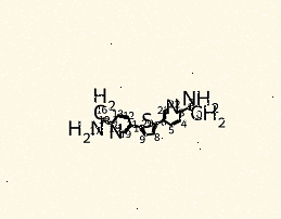 C=C(N)c1ccc(-c2ccc(-c3ccc(C(=C)N)nc3)s2)cn1